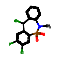 CN1c2ccccc2C(Cl)c2cc(F)c(Cl)cc2S1(=O)=O